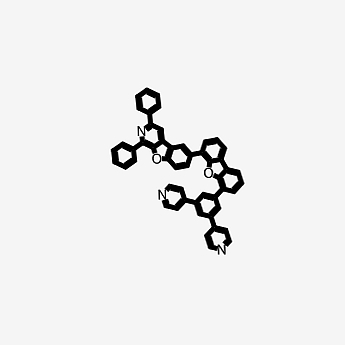 c1ccc(-c2cc3c(oc4ccc(-c5cccc6c5oc5c(-c7cc(-c8ccncc8)cc(-c8ccncc8)c7)cccc56)cc43)c(-c3ccccc3)n2)cc1